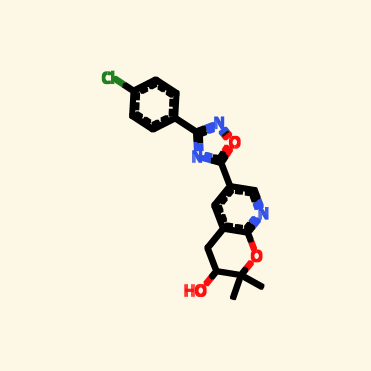 CC1(C)Oc2ncc(-c3nc(-c4ccc(Cl)cc4)no3)cc2CC1O